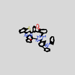 c1ccc(-c2nc(-c3ccc4c5ccccc5n(-c5ccccc5)c4c3)nc(-c3cccc4oc5ccc(-c6nc(-c7ccccc7)nc7c6sc6ccccc67)cc5c34)n2)cc1